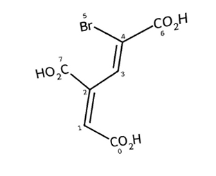 O=C(O)C=C(C=C(Br)C(=O)O)C(=O)O